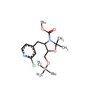 CC(C)(C)OC(=O)N1C(Cc2ccnc(Cl)c2)C(CO[Si](C)(C)C(C)(C)C)OC1(C)C